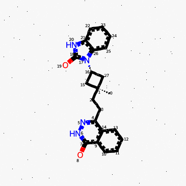 C[C@]1(CCc2n[nH]c(=O)c3ccccc23)C[C@H](n2c(=O)[nH]c3ccccc32)C1